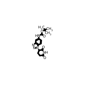 CC(C)(C)OC(=O)Nc1ccc2c(c1)nnn2C1CCC(=O)NC1=O